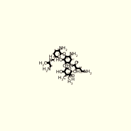 C=C(CN)NC[C@@H]1CCC(N)[C@@H](OC2C(O)C(O[C@H]3OCC(C)(O)[C@H](C)C3O)[C@H](NC(=O)[C@@H](O)CCN)C[C@@H]2N)O1